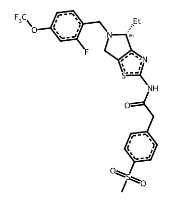 CC[C@@H]1c2nc(NC(=O)Cc3ccc(S(C)(=O)=O)cc3)sc2CN1Cc1ccc(OC(F)(F)F)cc1F